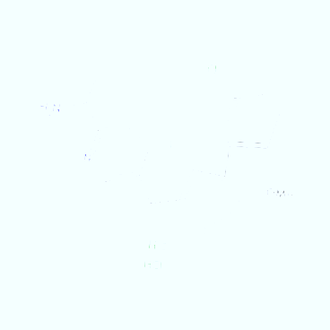 COc1ccc(Cc2ccc(C(C)N)nc2)c(F)c1-c1cccc(Cl)c1.Cl.Cl